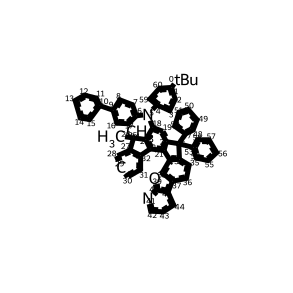 CC(C)(C)c1ccc(N(c2ccc(-c3ccccc3)cc2)c2cc3c(c4c2C(C)(C)c2ccccc2-4)-c2c(ccc4c2oc2ncccc24)C3(c2ccccc2)c2ccccc2)cc1